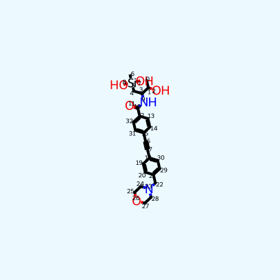 CC(O)C(C[Si](C)(O)O)NC(=O)c1ccc(C#Cc2ccc(CN3CCOCC3)cc2)cc1